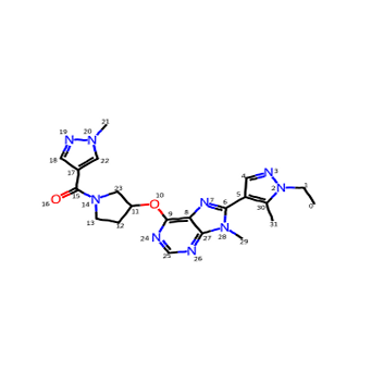 CCn1ncc(-c2nc3c(OC4CCN(C(=O)c5cnn(C)c5)C4)ncnc3n2C)c1C